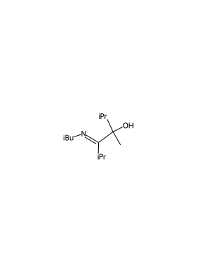 CCC(C)/N=C(\C(C)C)C(C)(O)C(C)C